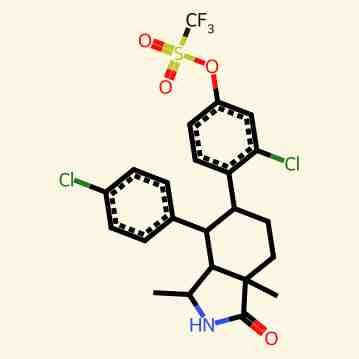 CC1NC(=O)C2(C)CCC(c3ccc(OS(=O)(=O)C(F)(F)F)cc3Cl)C(c3ccc(Cl)cc3)C12